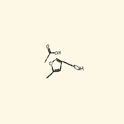 CC(=O)O.Cc1cc(O)co1